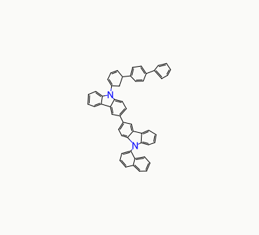 C1=CC(c2ccc(-c3ccccc3)cc2)CC(n2c3ccccc3c3cc(-c4ccc5c(c4)c4ccccc4n5-c4cccc5ccccc45)ccc32)=C1